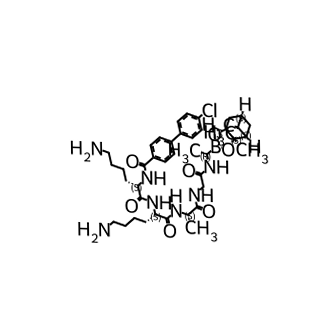 C[C@H](NC(=O)CNC(=O)[C@H](C)NC(=O)[C@H](CCCCN)NC(=O)[C@H](CCCCN)NC(=O)c1ccc(-c2ccc(Cl)cc2)cc1)B1OC2C[C@@H]3C[C@@H](C3(C)C)[C@]2(C)O1